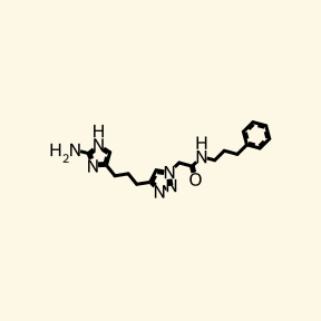 Nc1nc(CCCc2cn(CC(=O)NCCCc3ccccc3)nn2)c[nH]1